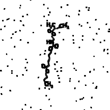 CCCCOC(=O)CCCCCOC(=O)NCCOC(=O)C(C)CC